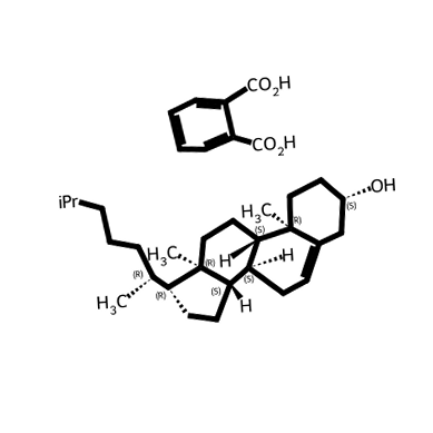 CC(C)CCC[C@@H](C)[C@H]1CC[C@H]2[C@@H]3CC=C4C[C@@H](O)CC[C@]4(C)[C@H]3CC[C@]12C.O=C(O)c1ccccc1C(=O)O